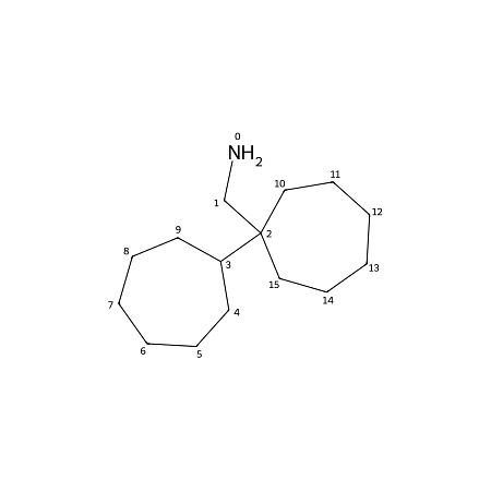 NCC1(C2CCCCCC2)CCCCCC1